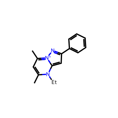 CCn1c(C)cc(C)[n+]2nc(-c3ccccc3)cc1-2